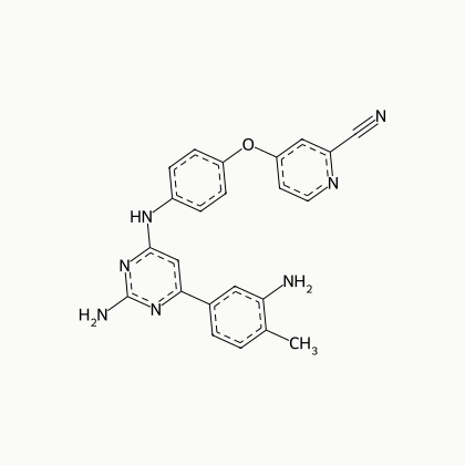 Cc1ccc(-c2cc(Nc3ccc(Oc4ccnc(C#N)c4)cc3)nc(N)n2)cc1N